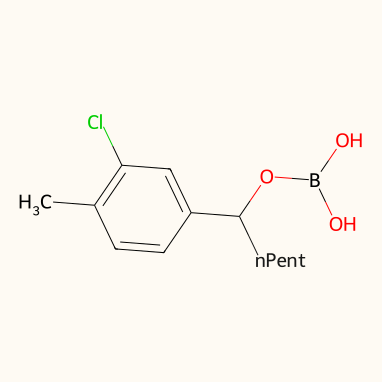 CCCCCC(OB(O)O)c1ccc(C)c(Cl)c1